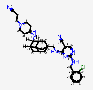 N#CCCN1CCC(N[C@@H]2[C@@H]3CC4C[C@H]2C[C@@](CNc2nc(NCc5ccccc5Cl)ncc2C#N)(C4)C3)CC1